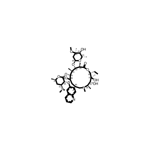 CC[C@H]1OC(=O)[C@H](C)[C@@H](O[C@H]2C[C@@](C)(OC)[C@@H](O)[C@H](C)O2)[C@H](C)[C@@H](O[C@@H]2O[C@H](C)C[C@H](N(C)C)[C@H]2Oc2ccc3ncccc3c2)[C@](C)(O)C[C@@H](C)CN(C)[C@H](C)[C@@H](O)[C@]1(C)O